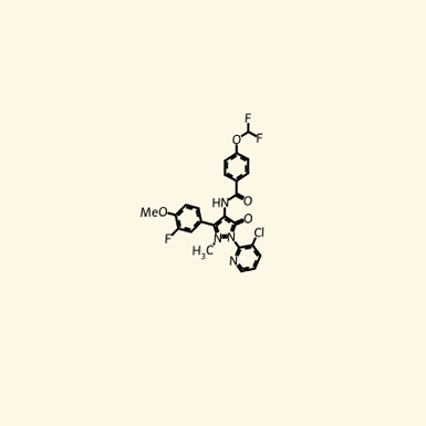 COc1ccc(-c2c(NC(=O)c3ccc(OC(F)F)cc3)c(=O)n(-c3ncccc3Cl)n2C)cc1F